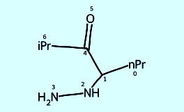 CCCC(NN)C(=O)C(C)C